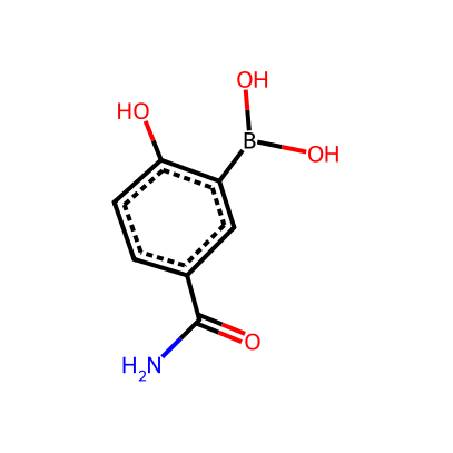 NC(=O)c1ccc(O)c(B(O)O)c1